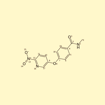 CNC(=O)c1ccc(Oc2ccc([N+](=O)[O-])nc2)cc1